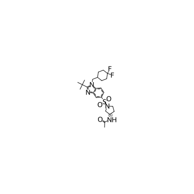 CC(=O)N[C@H]1CCN(S(=O)(=O)c2ccc3c(c2)nc(C(C)(C)C)n3CC2CCC(F)(F)CC2)C1